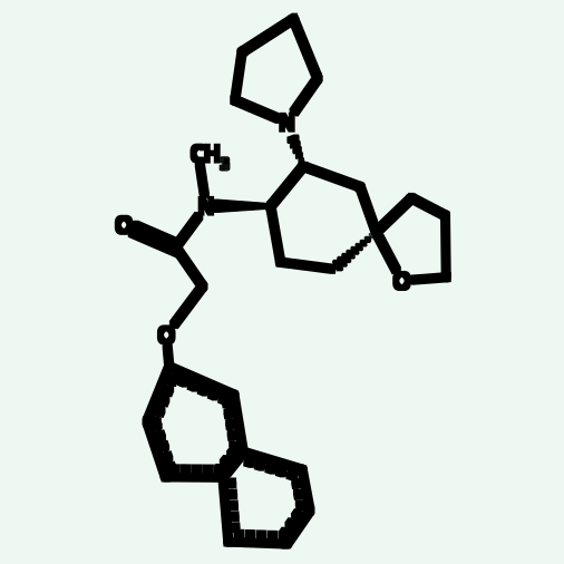 CN(C(=O)COc1ccc2ccccc2c1)[C@@H]1CC[C@@]2(CCCO2)C[C@H]1N1CCCC1